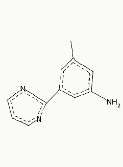 Cc1cc(N)cc(-c2ncccn2)c1